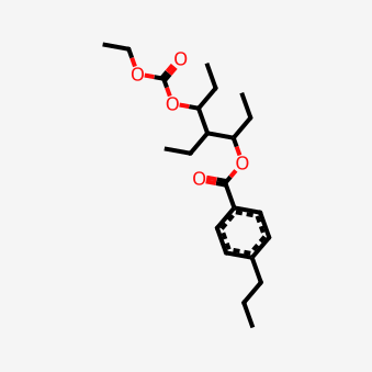 CCCc1ccc(C(=O)OC(CC)C(CC)C(CC)OC(=O)OCC)cc1